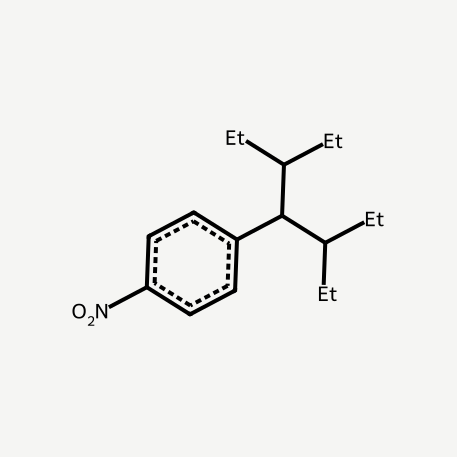 CCC(CC)C(c1ccc([N+](=O)[O-])cc1)C(CC)CC